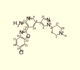 CN1CCC(n2cc(-c3cnc(N)c(-c4nc5ccc(Cl)cc5o4)c3)cn2)CC1